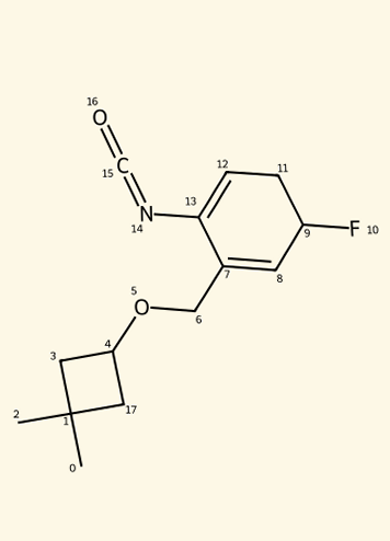 CC1(C)CC(OCC2=CC(F)CC=C2N=C=O)C1